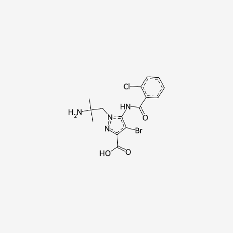 CC(C)(N)Cn1nc(C(=O)O)c(Br)c1NC(=O)c1ccccc1Cl